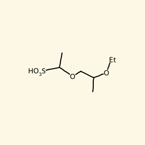 CCOC(C)COC(C)S(=O)(=O)O